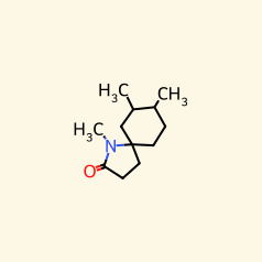 CC1CCC2(CCC(=O)N2C)CC1C